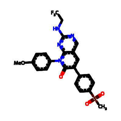 COc1ccc(-n2c(=O)c(-c3ccc(S(C)(=O)=O)cc3)cc3cnc(NCC(F)(F)F)nc32)cc1